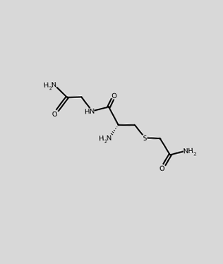 NC(=O)CNC(=O)[C@@H](N)CSCC(N)=O